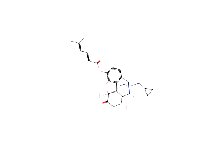 CC(C)=C/C=C/C(=O)Oc1ccc2c3c1O[C@H]1C(=O)CC[C@@]4(O)[C@@H](C2)N(CC2CC2)CC[C@]314